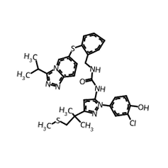 CSCC(C)(C)c1cc(NC(=O)NCc2ccccc2Sc2ccc3nnc(C(C)C)n3c2)n(-c2ccc(O)c(Cl)c2)n1